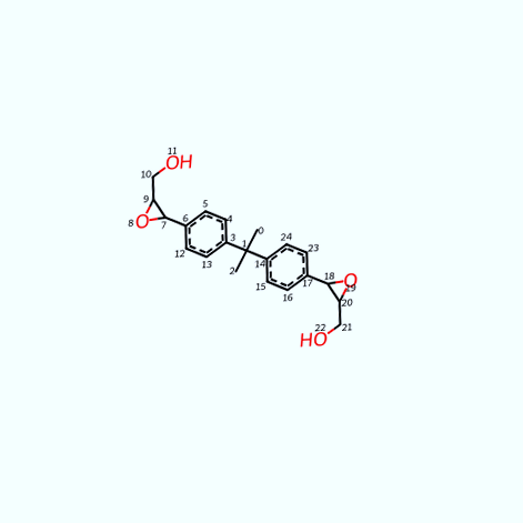 CC(C)(c1ccc(C2OC2CO)cc1)c1ccc(C2OC2CO)cc1